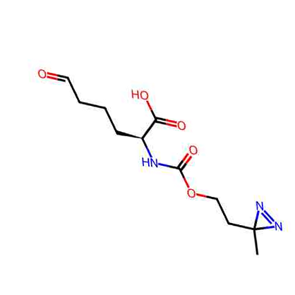 CC1(CCOC(=O)N[C@@H](CCCC=O)C(=O)O)N=N1